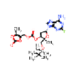 Cc1oc(=O)oc1COC(=O)O[C@H]1C[C@H](n2cnc3c(N)nc(F)nc32)O[C@]1(C)CO[Si](C)(C)C(C)(C)C